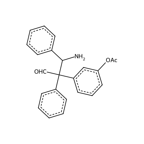 CC(=O)Oc1cccc(C(C=O)(c2ccccc2)C(N)c2ccccc2)c1